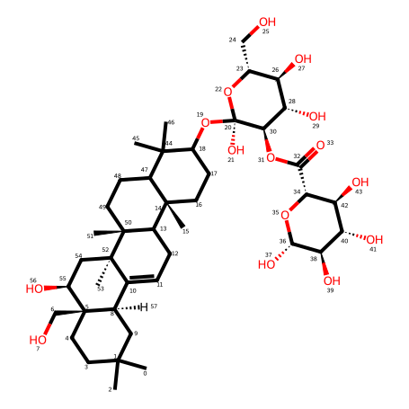 CC1(C)CC[C@@]2(CO)[C@H](C1)C1=CCC3[C@@]4(C)CCC(O[C@@]5(O)O[C@H](CO)[C@@H](O)[C@H](O)[C@H]5OC(=O)[C@H]5O[C@@H](O)[C@H](O)[C@@H](O)[C@@H]5O)C(C)(C)C4CC[C@@]3(C)[C@]1(C)C[C@@H]2O